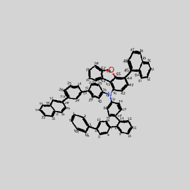 c1ccc(-c2ccc(-c3ccccc3-c3ccc(N(c4ccc(-c5cccc(-c6ccc7ccccc7c6)c5)cc4)c4ccc(-c5cccc6ccccc56)c5oc6ccccc6c45)cc3)cc2)cc1